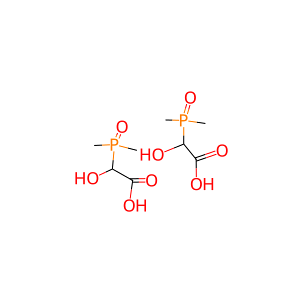 CP(C)(=O)C(O)C(=O)O.CP(C)(=O)C(O)C(=O)O